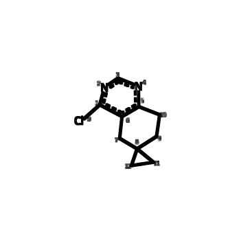 Clc1ncnc2c1CC1(CC2)CC1